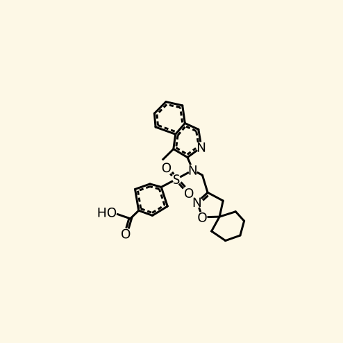 Cc1c(N(CC2=NOC3(CCCCC3)C2)S(=O)(=O)c2ccc(C(=O)O)cc2)ncc2ccccc12